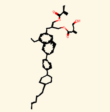 C=C(C)C(=O)OCC(COC(=O)C(=C)CO)Cc1cc(CC)c2cc(-c3ccc(C4CCC(CCCCC)CC4)cc3)ccc2c1